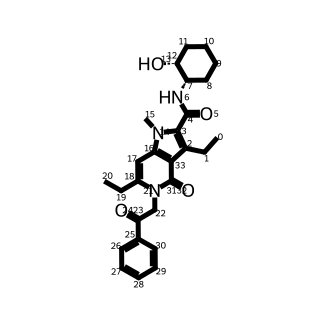 CCc1c(C(=O)N[C@H]2CCCC[C@H]2O)n(C)c2cc(CC)n(CC(=O)c3ccccc3)c(=O)c12